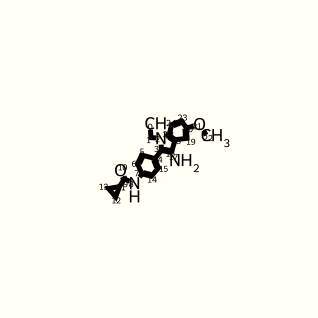 CCn1c(-c2ccc(NC(=O)C3CC3)cc2)c(N)c2cc(OC)ccc21